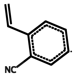 C=Cc1cc[c]cc1C#N